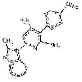 COc1ccc(-c2c(N)cc(-n3c(C)nc4ccccc43)nc2N)cc1